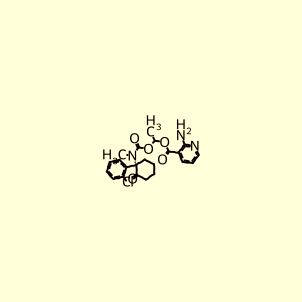 CC(OC(=O)c1cccnc1N)OC(=O)N(C)[C@]1(c2ccccc2Cl)CCCCC1=O